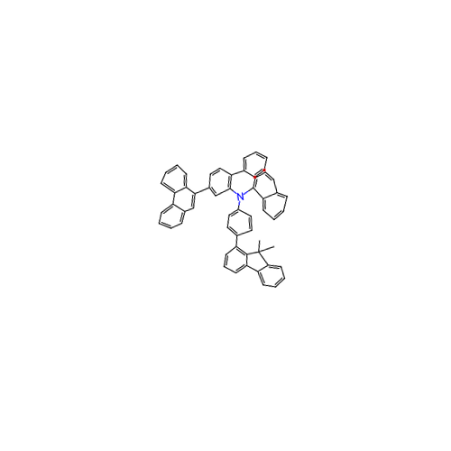 CC1(C)c2ccccc2-c2cccc(-c3ccc(N(c4cc(-c5cc6ccccc6c6ccccc56)ccc4-c4ccccc4)c4cccc5ccccc45)cc3)c21